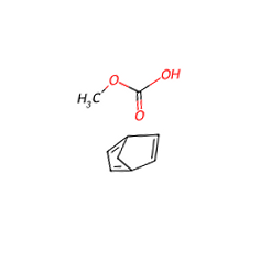 C1=CC2=CC=C1C2.COC(=O)O